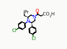 CC(C)C[C@H]1CN(C(=O)CC(=O)O)C[C@@H](c2ccc(Cl)cc2)N1c1ccc(Cl)cc1